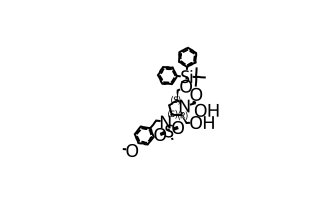 COc1ccc(CN([C@H]2C[C@@H](CO[Si](c3ccccc3)(c3ccccc3)C(C)(C)C)N(C(=O)O)[C@H]2CO)S(C)(=O)=O)cc1